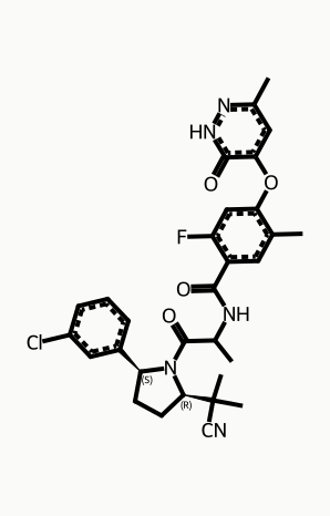 Cc1cc(Oc2cc(F)c(C(=O)NC(C)C(=O)N3[C@H](c4cccc(Cl)c4)CC[C@@H]3C(C)(C)C#N)cc2C)c(=O)[nH]n1